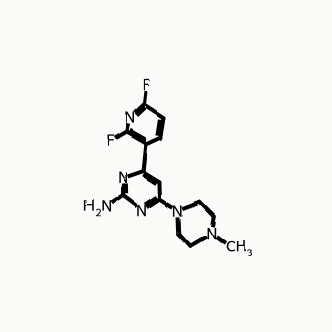 CN1CCN(c2cc(-c3ccc(F)nc3F)nc(N)n2)CC1